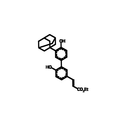 CCOC(=O)/C=C/c1ccc(O)c(-c2ccc(O)c(C34CC5CC(CC(C5)C3)C4)c2)c1